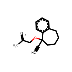 C#CC1(OCC(=C)C)CCCCc2ccccc21